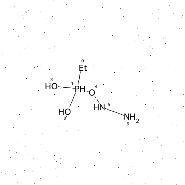 CC[PH](O)(O)ONN